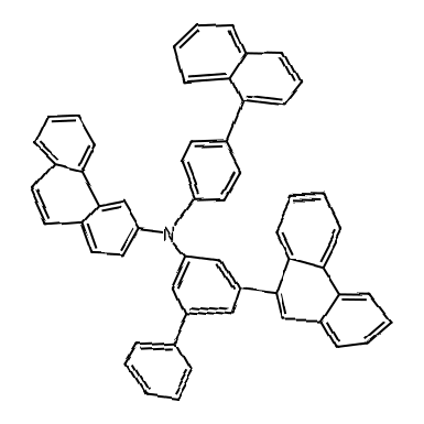 c1ccc(-c2cc(-c3cc4ccccc4c4ccccc34)cc(N(c3ccc(-c4cccc5ccccc45)cc3)c3ccc4ccc5ccccc5c4c3)c2)cc1